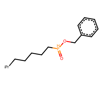 CC(C)CCCCC[PH](=O)OCc1ccccc1